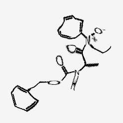 CC[N+]([O-])(C(=O)C(C)NC(=O)OCc1ccccc1)c1ccccc1